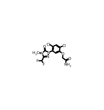 Cn1c(C(F)F)nn(-c2cc(OCC(N)=O)c(Cl)cc2Cl)c1=O